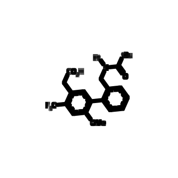 CCN(Cc1ccccc1-c1cc(CC(=O)O)c(C(F)(F)F)cc1OC)C(=O)C(C)(C)C